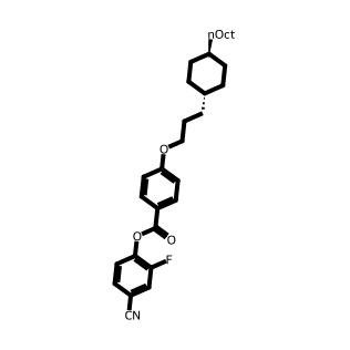 CCCCCCCC[C@H]1CC[C@H](CCCOc2ccc(C(=O)Oc3ccc(C#N)cc3F)cc2)CC1